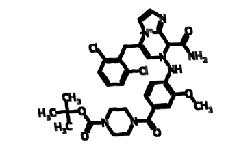 COc1cc(C(=O)N2CCN(C(=O)OC(C)(C)C)CC2)ccc1NN1C=C(Cc2c(Cl)cccc2Cl)[N+]2C=CN=C2C1C(N)=O